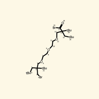 CC(C)(C)CC(CBr)(COCCOCCOCC(CC(C)(C)C)(C(=O)Br)C(C)(C)C)C(C)(C)C